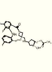 CC(=O)O[C@H]1CC(NCC2(O)CN(C(=O)c3ccc(F)c(F)c3Nc3ccc(I)cc3F)C2)C[C@H]1O